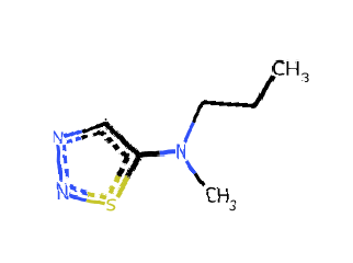 CCCN(C)c1[c]nns1